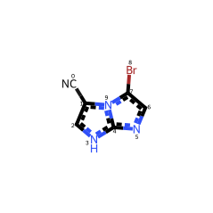 N#Cc1c[nH]c2ncc(Br)n12